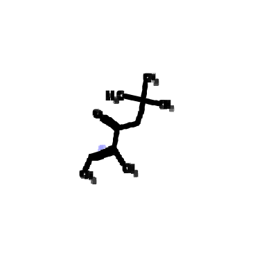 C/C=C(\C)C(=O)CC(C)(C)C